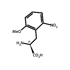 COc1cccc([N+](=O)[O-])c1C[C@H](N)C(=O)O